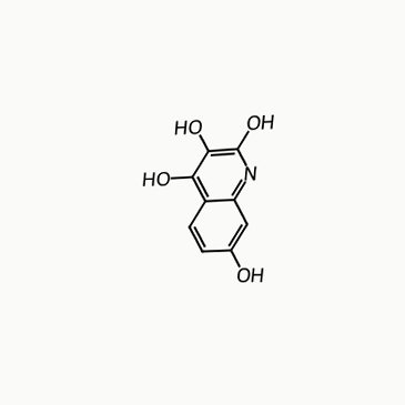 Oc1ccc2c(O)c(O)c(O)nc2c1